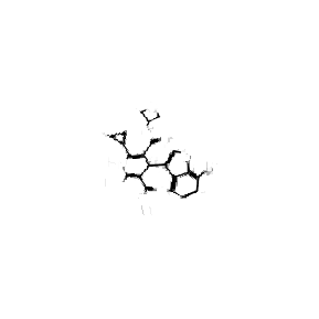 CC(=O)C1=C(C)NC(C2CC2)=C(C(=O)OC2COC2)C1c1csc2c(Br)cccc12